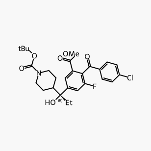 CC[C@](O)(c1cc(F)c(C(=O)c2ccc(Cl)cc2)c(C(=O)OC)c1)C1CCN(C(=O)OC(C)(C)C)CC1